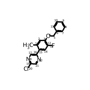 Cc1cc(OCc2ccccc2)c(F)cc1-c1cnc(Cl)cn1